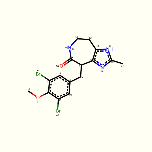 COc1c(Br)cc(CC2C(=O)NCCc3[nH]c(C)nc32)cc1Br